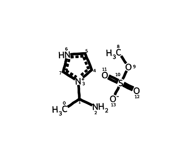 CC(N)[n+]1cc[nH]c1.COS(=O)(=O)[O-]